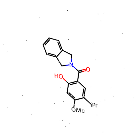 COc1cc(O)c(C(=O)N2Cc3ccccc3C2)cc1C(C)C